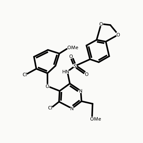 COCc1nc(Cl)c(Oc2cc(OC)ccc2Cl)c(NS(=O)(=O)c2ccc3c(c2)OCO3)n1